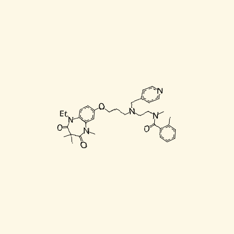 CCN1C(=O)C(C)(C)C(=O)N(C)c2cc(OCCCN(CCN(C)C(=O)c3ccccc3C)Cc3ccncc3)ccc21